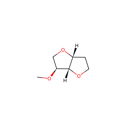 CO[C@H]1CO[C@@H]2CCO[C@H]12